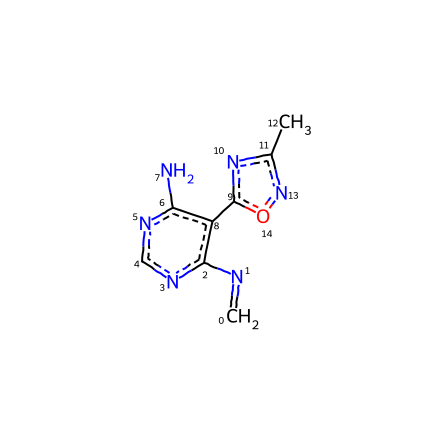 C=Nc1ncnc(N)c1-c1nc(C)no1